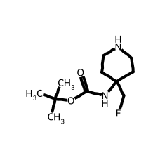 CC(C)(C)OC(=O)NC1(CF)CCNCC1